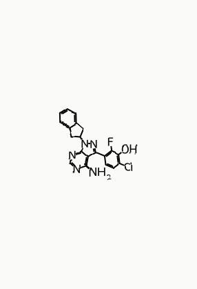 Nc1ncnc2c1c(-c1ccc(Cl)c(O)c1F)nn2C1Cc2ccccc2C1